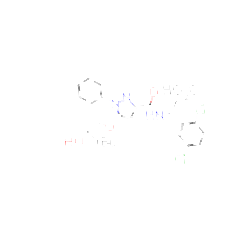 CC(C)(C)[C@](C)(O)COc1cc(C(=O)N[C@@H](CC(=O)O)c2cc(Cl)ccc2Cl)nn1-c1ccccc1